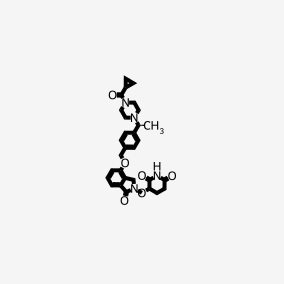 C[C@H](c1ccc(COc2cccc3c2CN(OC2CCC(=O)NC2=O)C3=O)cc1)N1CCN(C(=O)C2CC2)CC1